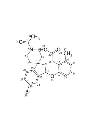 CC(=O)N1CCC2(CC1)CC(Oc1cccc(C)c1CC(=O)O)c1cc(Br)ccc12